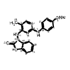 COc1ccc(Nc2ncc(C)c(Nn3c(=O)oc4ccccc43)n2)cc1